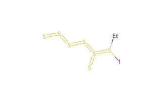 CCS(I)=S(=S)=S=S=S=S